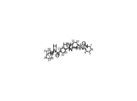 O=C(Nc1ccccn1)c1ccc2[nH]c(-c3ccc(C(=O)NC4C5CC6CC(C5)CC4C6)cc3)nc2c1